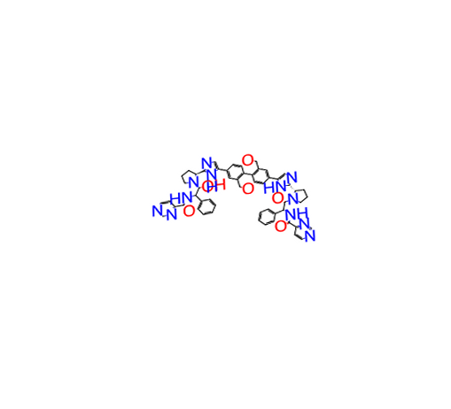 O=C(NC(c1ccccc1)C(O)N1CCC[C@H]1c1ncc(-c2cc3c4c(c2)OCc2cc(-c5cnc([C@@H]6CCCN6C(=O)[C@H](NC(=O)c6ccncn6)c6ccccc6)[nH]5)cc(c2-4)OC3)[nH]1)c1ccncn1